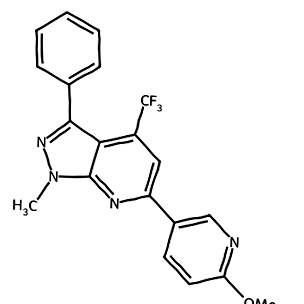 COc1ccc(-c2cc(C(F)(F)F)c3c(-c4ccccc4)nn(C)c3n2)cn1